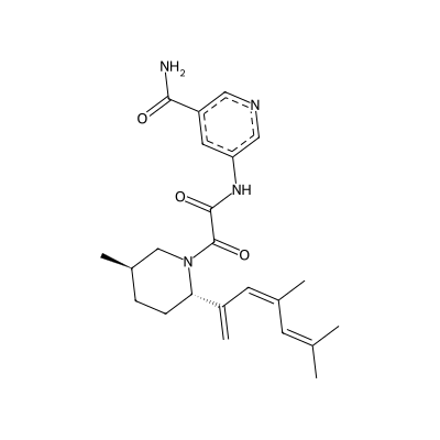 C=C(/C=C(/C)C=C(C)C)[C@@H]1CC[C@@H](C)CN1C(=O)C(=O)Nc1cncc(C(N)=O)c1